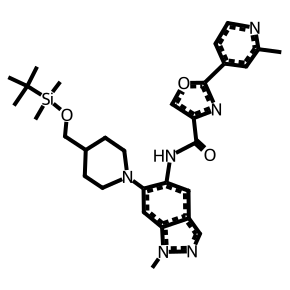 Cc1cc(-c2nc(C(=O)Nc3cc4cnn(C)c4cc3N3CCC(CO[Si](C)(C)C(C)(C)C)CC3)co2)ccn1